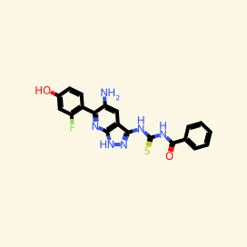 Nc1cc2c(NC(=S)NC(=O)c3ccccc3)n[nH]c2nc1-c1ccc(O)cc1F